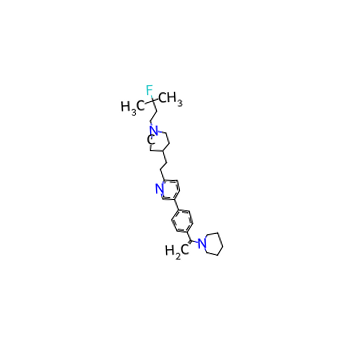 C=C(c1ccc(-c2ccc(CCC3CCN(CCC(C)(C)F)CC3)nc2)cc1)N1CCCCC1